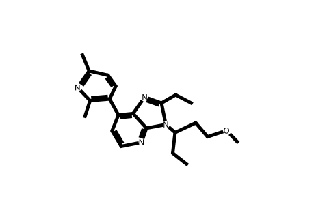 CCc1nc2c(-c3ccc(C)nc3C)ccnc2n1C(CC)CCOC